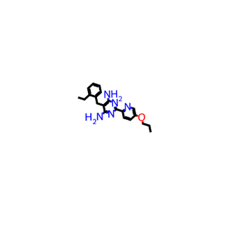 CCCOc1ccc(-c2nc(N)c(Cc3ccccc3CC)c(N)n2)nc1